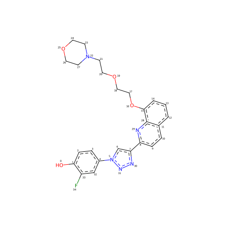 Oc1ccc(-n2cc(-c3ccc4cccc(OCCOCCN5CCOCC5)c4n3)nn2)cc1F